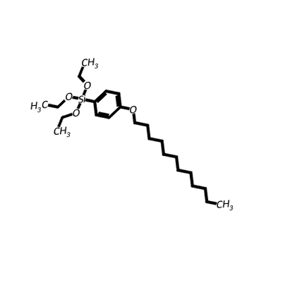 CCCCCCCCCCCCOc1ccc([Si](OCC)(OCC)OCC)cc1